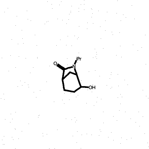 CC(C)N1C(=O)C2CCC(O)C1C2